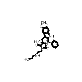 COc1ccc2[nH]c3c(c2c1)C[C@@]1(C)C(=O)N(CCNCCO)C(=O)N1[C@@H]3c1ccccc1